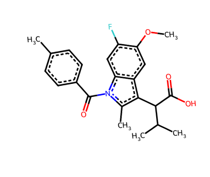 COc1cc2c(C(C(=O)O)C(C)C)c(C)n(C(=O)c3ccc(C)cc3)c2cc1F